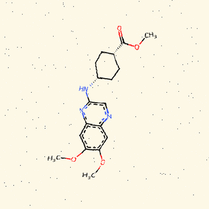 COc1cc2ncc(N[C@H]3CC[C@@H](C(=O)OC)CC3)nc2cc1OC